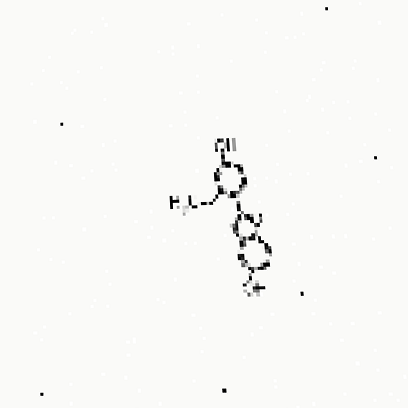 CCc1cc(O)ccc1-c1cc2cc(O)ccc2o1